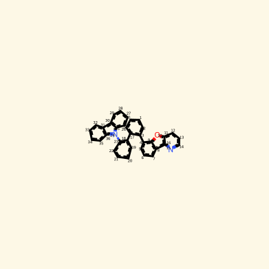 c1ccc(-c2cccc3c2oc2cccnc23)c(-c2ccccc2-n2c3ccccc3c3ccccc32)c1